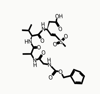 CC(NC(=O)CNC(=O)OCc1ccccc1)C(=O)N[C@H](C(=O)N[C@H](/C=C/S(C)(=O)=O)CC(=O)O)C(C)C